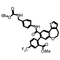 COC(=O)c1cc(C(F)(F)F)ccc1-c1cc2c(cc1C(=O)Nc1ccc(CNC(=O)OC(C)(C)C)cc1)-c1sccc1CCO2